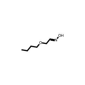 CCCCOC/C=N/O